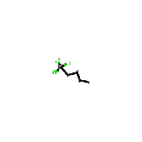 CCCC[Si](Cl)(Cl)Cl